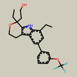 CCc1cc(-c2cccc(OC(F)(F)F)c2)cc2c3c([nH]c12)C(CC)(CCO)OCC3